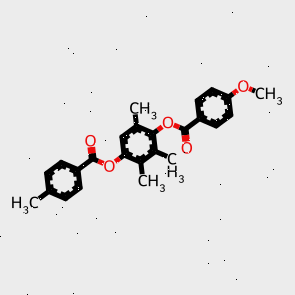 COc1ccc(C(=O)Oc2c(C)cc(OC(=O)c3ccc(C)cc3)c(C)c2C)cc1